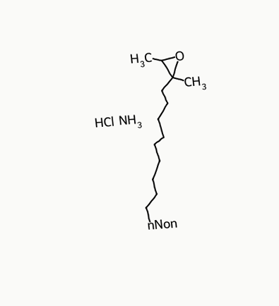 CCCCCCCCCCCCCCCCCCC1(C)OC1C.Cl.N